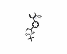 C=C/C(=C(\C)O)c1cccc(C(CF)N[S@+]([O-])C(C)(C)C)c1